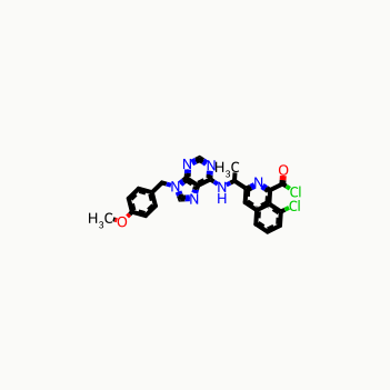 COc1ccc(Cn2cnc3c(NC(C)c4cc5cccc(Cl)c5c(C(=O)Cl)n4)ncnc32)cc1